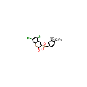 COc1ccc(CS(=O)(=O)c2cc3c(Br)cc(Br)cc3sc2=O)cc1[N+](=O)[O-]